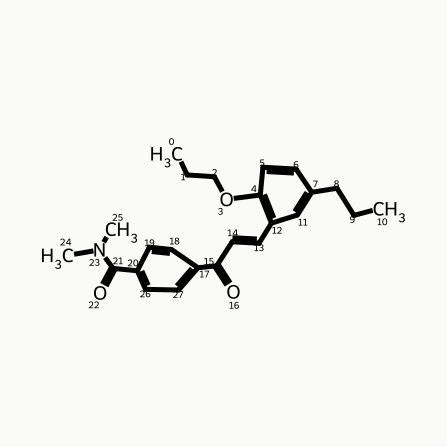 CCCOc1ccc(CCC)cc1C=CC(=O)c1ccc(C(=O)N(C)C)cc1